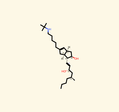 CCCC[C@H](C)C[C@H](O)/C=C/[C@@H]1[C@H]2CC(CCCCCNC(C)(C)C)=C[C@H]2C[C@H]1O